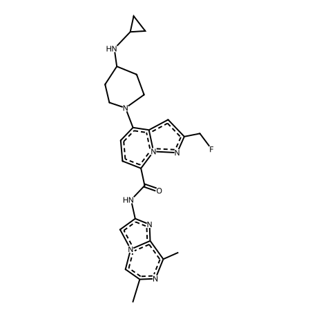 Cc1cn2cc(NC(=O)c3ccc(N4CCC(NC5CC5)CC4)c4cc(CF)nn34)nc2c(C)n1